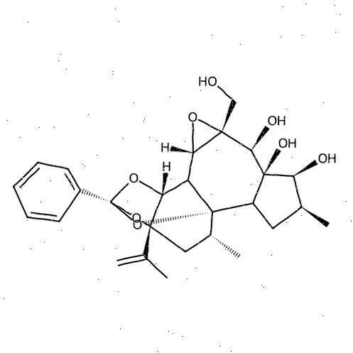 C=C(C)[C@]12C[C@@H](C)[C@@]34O[C@](c5ccccc5)(O[C@@H]1C3[C@@H]1O[C@]1(CO)[C@@H](O)[C@@]1(O)C4C[C@H](C)[C@@H]1O)O2